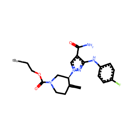 C=C1CCN(C(=O)OCCC(C)(C)C)C[C@H]1n1cc(C(N)=O)c(Nc2ccc(F)cc2)n1